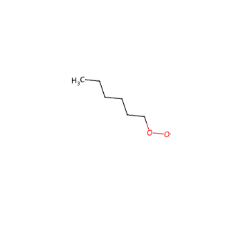 CCCCCCO[O]